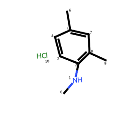 CNc1ccc(C)cc1C.Cl